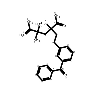 C=C(C)C(C)(C)CC(C)(CCc1cccc(C(=O)c2ccccc2)c1)C(C)=O